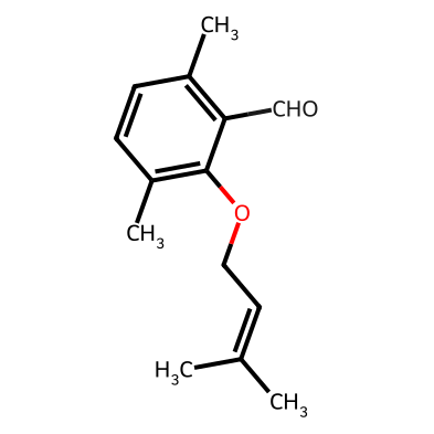 CC(C)=CCOc1c(C)ccc(C)c1C=O